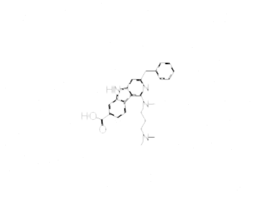 CN(C)CCCN(C)c1nc(Cc2ccccc2)cc2[nH]c3cc(C(=O)O)ccc3c12